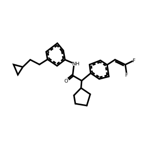 O=C(Nc1cccc(CCC2CC2)c1)C(c1ccc(C=C(F)F)cc1)C1CCCC1